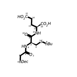 CCCCCCCCCCCC(=O)N[C@H](CSCCCC)C(=O)N[C@@H](CCC(=O)O)C(=O)O